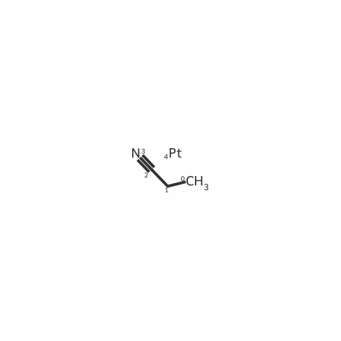 CCC#N.[Pt]